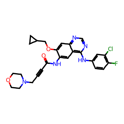 O=C(C#CCN1CCOCC1)Nc1cc2c(Nc3ccc(F)c(Cl)c3)ncnc2cc1OCC1CC1